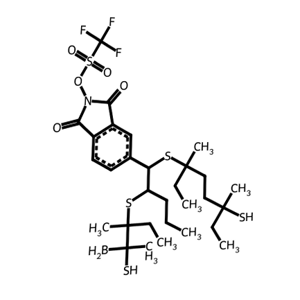 BC(C)(S)C(C)(CC)SC(CCC)C(SC(C)(CC)CCC(C)(S)CC)c1ccc2c(c1)C(=O)N(OS(=O)(=O)C(F)(F)F)C2=O